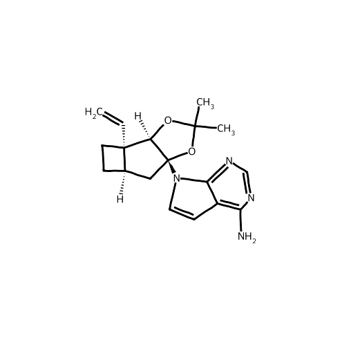 C=C[C@@]12CC[C@@H]1C[C@@]1(n3ccc4c(N)ncnc43)OC(C)(C)O[C@H]21